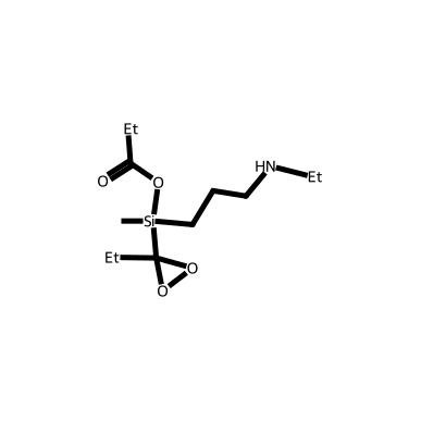 CCNCCC[Si](C)(OC(=O)CC)C1(CC)OO1